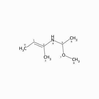 C/C=C(\C)NC(C)OC